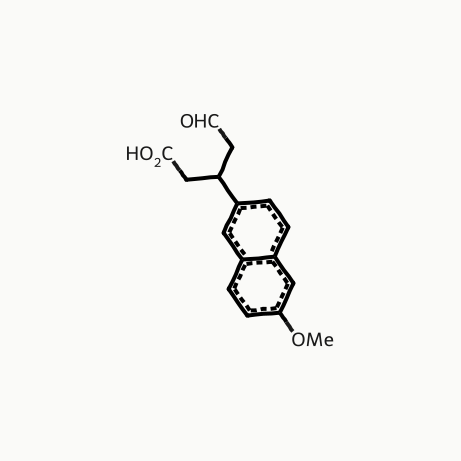 COc1ccc2cc(C(CC=O)CC(=O)O)ccc2c1